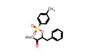 COC(=O)C(Cc1ccccc1)OS(=O)(=O)c1ccc(C)cc1